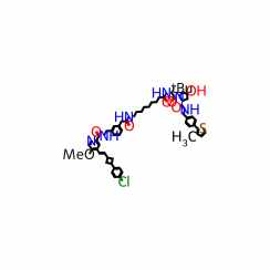 COc1cnc(C(=O)NCc2cccc(CC(=O)NCCCCCCCCC(=O)N[C@H](C(=O)N3C[C@H](O)C[C@H]3C(=O)NCc3ccc(-c4sccc4C)cc3)C(C)(C)C)c2)cc1/C=C/C1CC(c2ccc(Cl)cc2)C1